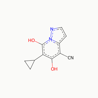 N#Cc1c(O)c(C2CC2)c(O)n2nccc12